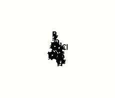 Cc1ccccc1N1c2c(c(Cl)nc3c(OCCF)cccc23)CC1(OCCF)OCCF